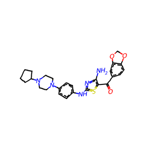 Nc1nc(Nc2ccc(N3CCN(C4CCCC4)CC3)cc2)sc1C(=O)c1ccc2c(c1)OCO2